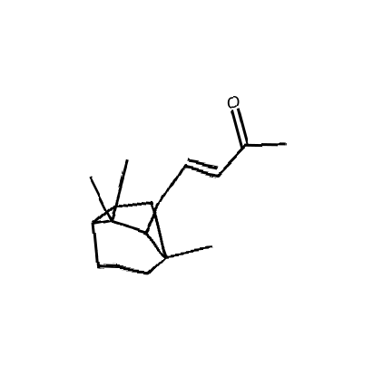 CC(=O)C=CC1C2(C)CCC(CC2)C1(C)C